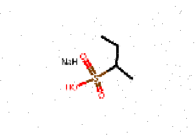 CCC(C)S(=O)(=O)O.[NaH]